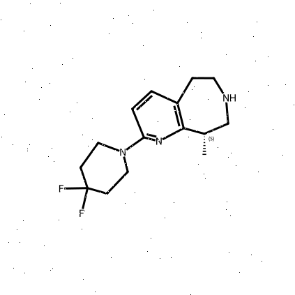 C[C@H]1CNCCc2ccc(N3CCC(F)(F)CC3)nc21